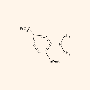 CCCCCc1ccc(C(=O)OCC)cc1N(C)C